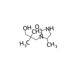 CC1CNC(=O)N1CC(C)(C)CO